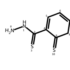 NNC(=S)C1=CC=CCC1=S